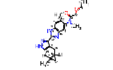 CCOCC(=O)N(C)c1cc2nc(-c3n[nH]c4c3C[C@@H]3C[C@]3(C)C4)[nH]c2cc1C